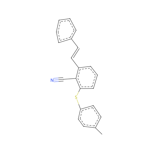 Cc1ccc(Sc2cccc(C=Cc3ccccc3)c2C#N)cc1